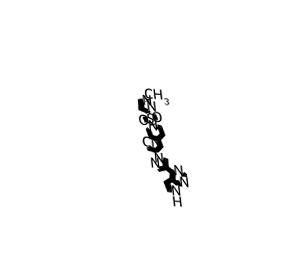 Cn1ccc(S(=O)(=O)N2CCC(CC(CC#N)n3cc(-c4ncnc5[nH]ccc45)cn3)CC2)n1